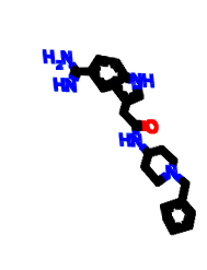 N=C(N)c1ccc2[nH]cc(CC(=O)NC3CCN(Cc4ccccc4)CC3)c2c1